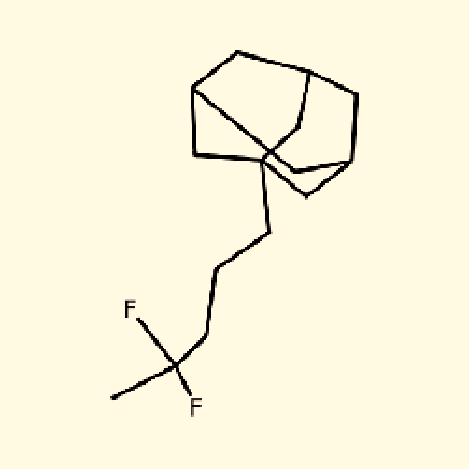 CC(F)(F)CCCC12CC3CC(CC(C3)C1)C2